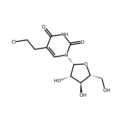 O=c1[nH]c(=O)n([C@@H]2O[C@H](CO)[C@@H](O)[C@@H]2O)cc1CCCl